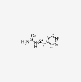 NC(=O)NSCc1ccncc1